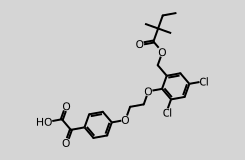 CCC(C)(C)C(=O)OCc1cc(Cl)cc(Cl)c1OCCOc1ccc(C(=O)C(=O)O)cc1